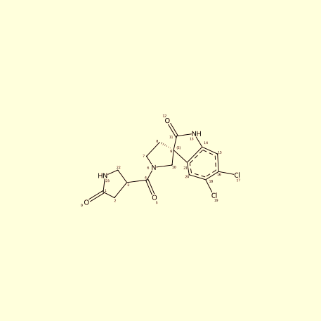 O=C1CC(C(=O)N2CC[C@]3(C2)C(=O)Nc2cc(Cl)c(Cl)cc23)CN1